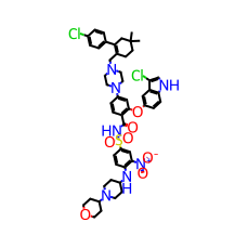 CC1(C)CCC(CN2CCN(c3ccc(C(=O)NS(=O)(=O)c4ccc(NC5CCN(C6CCOCC6)CC5)c([N+](=O)[O-])c4)c(Oc4ccc5[nH]cc(Cl)c5c4)c3)CC2)=C(c2ccc(Cl)cc2)C1